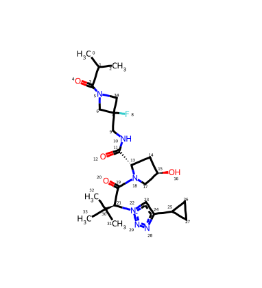 CC(C)C(=O)N1CC(F)(CNC(=O)[C@@H]2C[C@@H](O)CN2C(=O)[C@@H](n2cc(C3CC3)nn2)C(C)(C)C)C1